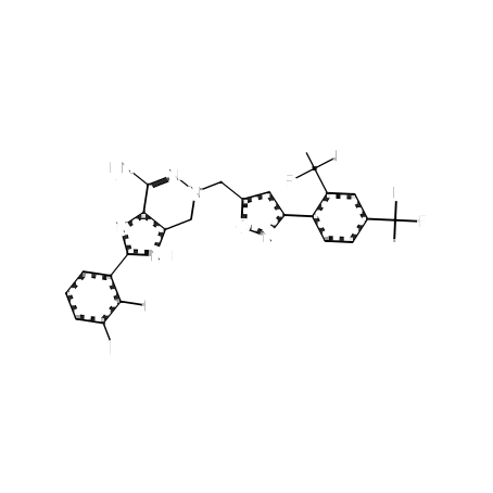 NC1=NN(Cc2cc(-c3ccc(C(F)(F)F)cc3C(F)(F)F)no2)Cc2[nH]c(-c3cccc(F)c3F)nc21